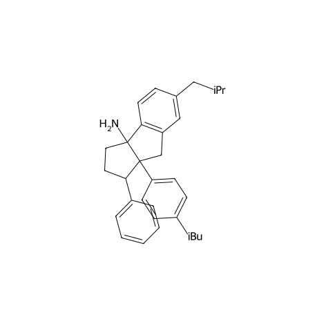 CCC(C)c1ccc(C23Cc4cc(CC(C)C)ccc4C2(N)CCC3c2ccccc2)cc1